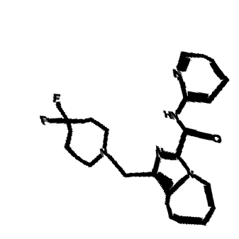 O=C(Nc1ccccn1)c1nc(CN2CCC(F)(F)CC2)c2ccccn12